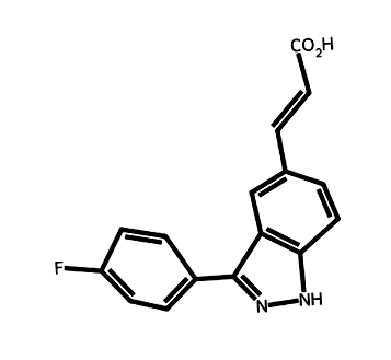 O=C(O)C=Cc1ccc2[nH]nc(-c3ccc(F)cc3)c2c1